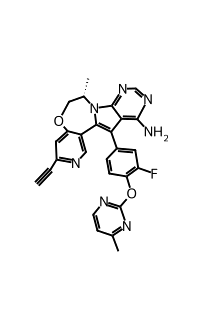 C#Cc1cc2c(cn1)-c1c(-c3ccc(Oc4nccc(C)n4)c(F)c3)c3c(N)ncnc3n1[C@@H](C)CO2